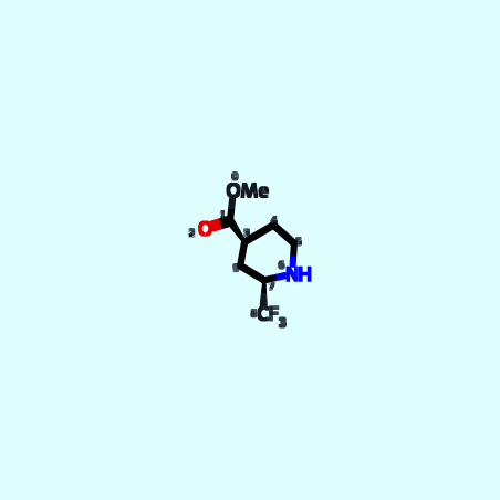 COC(=O)[C@H]1CCN[C@@H](C(F)(F)F)C1